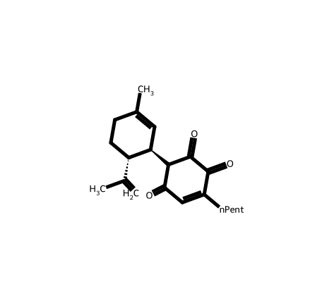 C=C(C)[C@@H]1CCC(C)=C[C@H]1C1C(=O)C=C(CCCCC)C(=O)C1=O